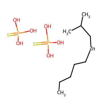 CCCC[CH2][Zn][CH2]C(C)C.OP(O)(O)=S.OP(O)(O)=S